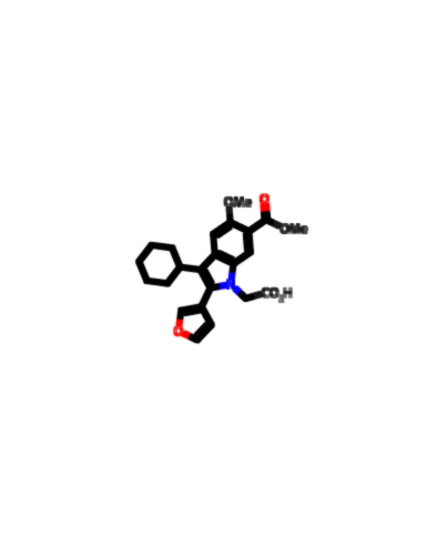 COC(=O)c1cc2c(cc1OC)c(C1CCCCC1)c(-c1ccoc1)n2CC(=O)O